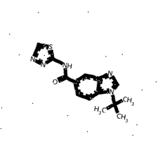 CC(C)(C)n1cnc2cc(C(=O)Nc3nncs3)ccc21